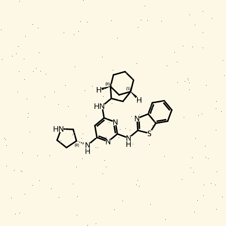 c1ccc2sc(Nc3nc(NC4C[C@H]5CCC[C@@H]4C5)cc(N[C@@H]4CCNC4)n3)nc2c1